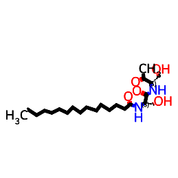 CCCCCCCCCCCCCCCC(=O)N[C@@H](CO)C(=O)N[C@@H](CO)C(C)=O